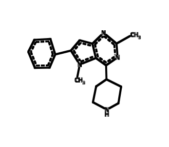 Cc1nc(C2CCNCC2)c2c(cc(-c3ccccc3)n2C)n1